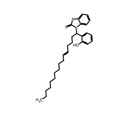 CCCCCCCCCCC=CCCCC(c1ccccc1O)n1c(=S)sc2ccccc21